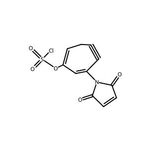 O=C1C=CC(=O)N1C1=CC(OS(=O)(=O)Cl)=CCC#C1